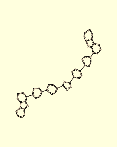 c1ccc2c(c1)sc1c(-c3ccc(-c4ccc(-c5nnc(-c6ccc(-c7ccc(-c8cccc9c8sc8ccccc89)cc7)cc6)o5)cc4)cc3)cccc12